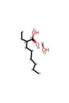 CCCCCCC(CC)C(=O)O.CO